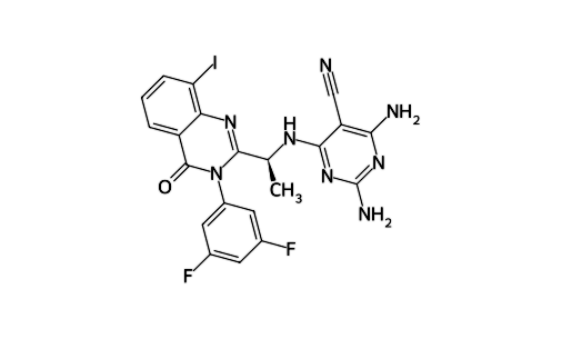 C[C@H](Nc1nc(N)nc(N)c1C#N)c1nc2c(I)cccc2c(=O)n1-c1cc(F)cc(F)c1